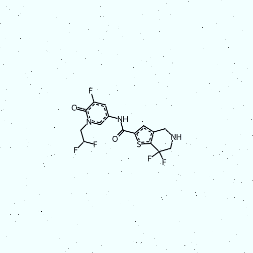 O=C(Nc1cc(F)c(=O)n(CC(F)F)c1)c1cc2c(s1)C(F)(F)CNC2